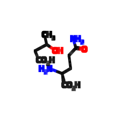 CC(O)CC(=O)O.NC(=O)CC[C@H](N)C(=O)O